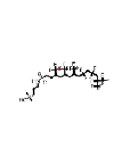 C[N+](C)(O)CCCNS(=O)(=O)CCC(CC(CC(CC(F)(F)CC(F)(F)CC(F)(C(F)(F)F)C(F)(F)F)C(F)(F)F)C(F)(F)F)C(F)(F)F